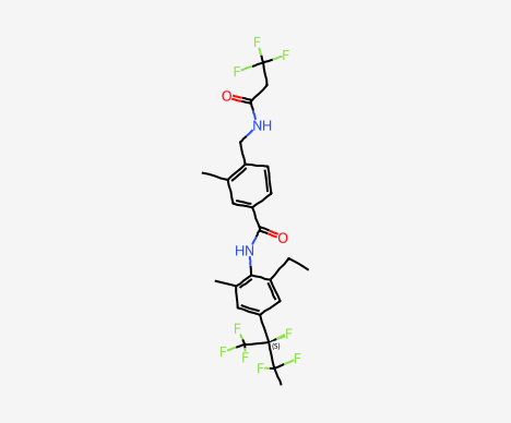 CCc1cc([C@](F)(C(C)(F)F)C(F)(F)F)cc(C)c1NC(=O)c1ccc(CNC(=O)CC(F)(F)F)c(C)c1